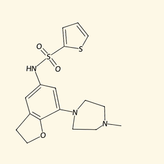 CN1CCN(c2cc(NS(=O)(=O)c3cccs3)cc3c2OCC3)CC1